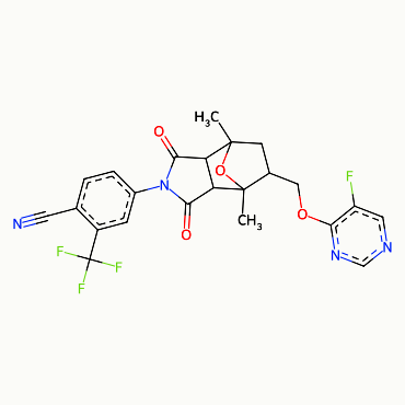 CC12CC(COc3ncncc3F)C(C)(O1)C1C(=O)N(c3ccc(C#N)c(C(F)(F)F)c3)C(=O)C12